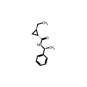 CC[C@@H]1C[C@H]1C(=O)N[C@@H](C)c1ccccc1